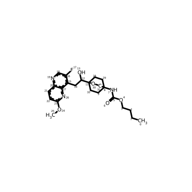 CCCCOC(=O)NC12CCC(C(O)Cc3c(F)cnc4ccc(OC)nc34)(CC1)OC2